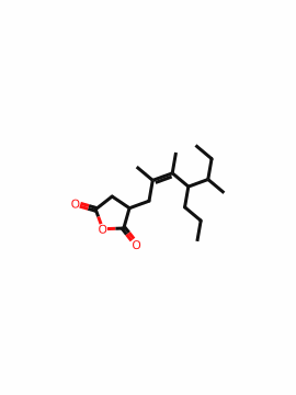 CCCC(C(C)=C(C)CC1CC(=O)OC1=O)C(C)CC